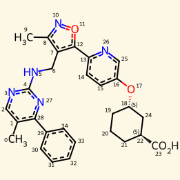 Cc1cnc(NCc2c(C)noc2-c2ccc(O[C@H]3CCC[C@H](C(=O)O)C3)cn2)nc1-c1ccccc1